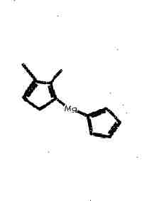 CC1=CC[C]([Mg][C]2=CC=CC2)=C1C